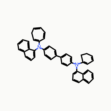 C1=CCC=C(N(c2ccc(-c3ccc(N(C4=CC=CCC4)c4cccc5ccccc45)cc3)cc2)c2cccc3ccccc23)C=C1